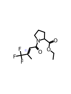 CCOC(=O)C1CCCN1C(=O)/C=C(\C)C(F)(F)F